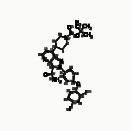 CC(C)(C)OC(=O)N1CCC(c2ccnc3c(C(N)=O)n(-c4ccc(Oc5ccc(F)cc5F)cc4)nc23)CC1